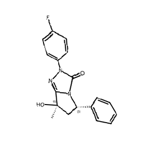 C[C@@]1(O)C[C@@H](c2ccccc2)n2c1nn(-c1ccc(F)cc1)c2=O